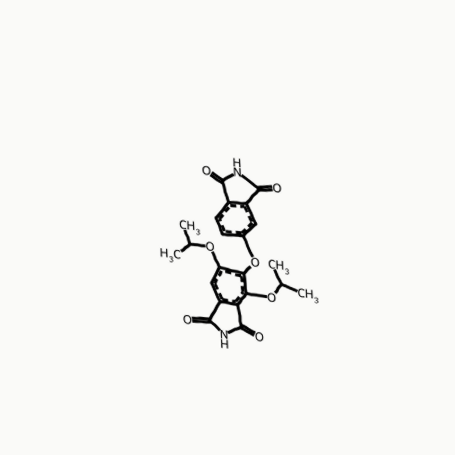 CC(C)Oc1cc2c(c(OC(C)C)c1Oc1ccc3c(c1)C(=O)NC3=O)C(=O)NC2=O